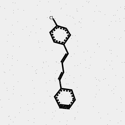 Clc1ccc(/C=C/C=C/c2cc#ccc2)cc1